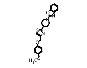 CSc1ccc(OCc2csc(C3CCN(c4nc5ccccc5o4)CC3)n2)cc1